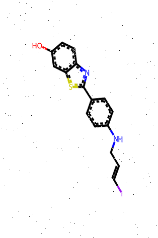 Oc1ccc2nc(-c3ccc(NCC=CI)cc3)sc2c1